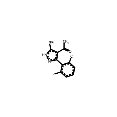 CC(C)(C)c1[nH]nc(-c2c(F)cccc2Cl)c1C(=O)C(F)(F)F